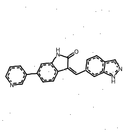 O=C1Nc2cc(-c3cccnc3)ccc2C1=Cc1ccc2cn[nH]c2c1